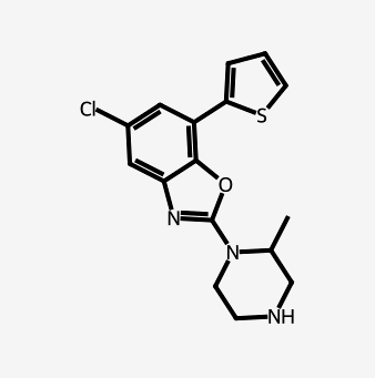 CC1CNCCN1c1nc2cc(Cl)cc(-c3cccs3)c2o1